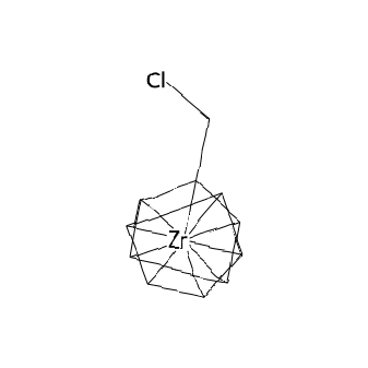 ClC[C]12[CH]3[CH]4[CH]5[CH]1[Zr]45321678[CH]2[CH]1[CH]6[CH]7[CH]28